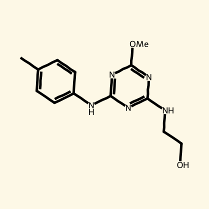 COc1nc(NCCO)nc(Nc2ccc(C)cc2)n1